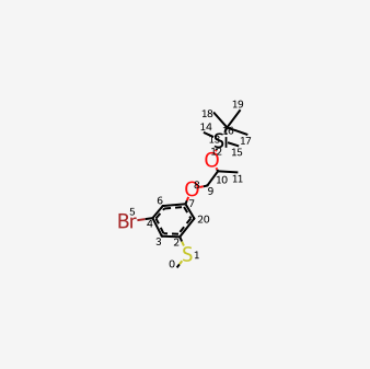 CSc1cc(Br)cc(OCC(C)O[Si](C)(C)C(C)(C)C)c1